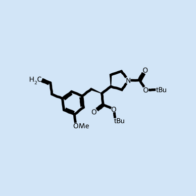 C=CCc1cc(C[C@H](C(=O)OC(C)(C)C)[C@H]2CCN(C(=O)OC(C)(C)C)C2)cc(OC)c1